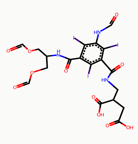 O=CNc1c(I)c(C(=O)NCC(CC(=O)O)C(=O)O)c(I)c(C(=O)NC(COC=O)COC=O)c1I